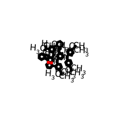 CC(C)(C)c1ccc(N(c2ccc(C(C)(C)C)cc2)c2cc3c4c(c2)N2c5c(cc(C(C)(C)C)cc5C5(C)CCCCC25C)B4c2c(ccc4c2oc2ccccc24)N3c2ccc(C(C)(C)C)cc2-c2ccccc2)cc1